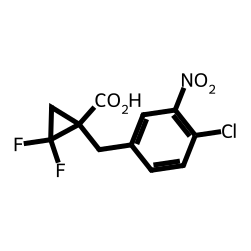 O=C(O)C1(Cc2ccc(Cl)c([N+](=O)[O-])c2)CC1(F)F